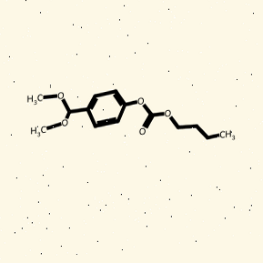 CCCCOC(=O)Oc1ccc(C(OC)OC)cc1